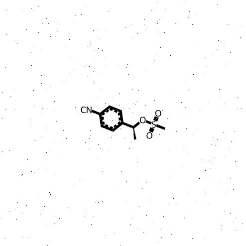 [C-]#[N+]c1ccc([C@H](C)OS(C)(=O)=O)cc1